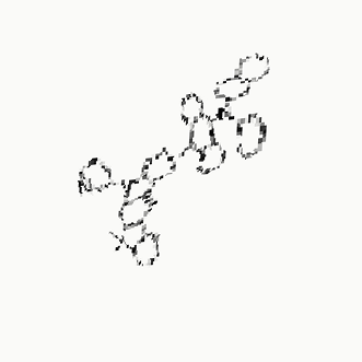 CC1(C)c2ccccc2-c2cc3c4cc(-c5c6ccccc6c(N(c6ccccc6)c6ccc7ccccc7c6)c6ccccc56)ccc4n(-c4cccnc4)c3cc21